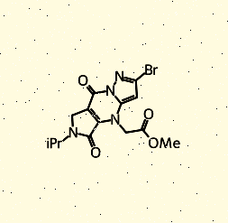 COC(=O)Cn1c2c(c(=O)n3nc(Br)cc13)CN(C(C)C)C2=O